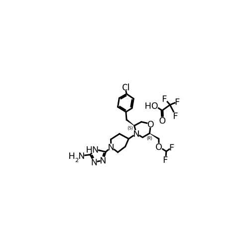 Nc1nnc(N2CCC(N3C[C@H](COC(F)F)OC[C@@H]3Cc3ccc(Cl)cc3)CC2)[nH]1.O=C(O)C(F)(F)F